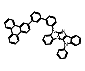 c1ccc(-n2c3ccccc3c3nc4n(-c5cccc(-c6cccc(-c7ccc8c9ccccc9c9ccccc9c8c7)c6)c5)c5ccccc5n4c32)cc1